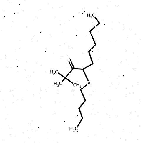 CCCCCCC(CCCCCC)C(=O)C(C)(C)C